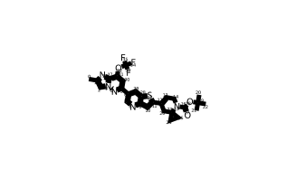 Cc1cn2nc(-c3cnc4cc(C5=CCN(C(=O)OC(C)(C)C)C6(CC6)C5)sc4c3)cc(OC(F)(F)F)c2n1